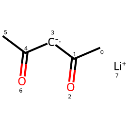 CC(=O)[C-]C(C)=O.[Li+]